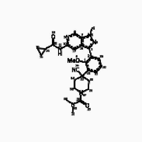 COc1c(-c2nn(C)c3cnc(NC(=O)C4CC4)cc23)cccc1C1(C#N)CCN(C(=O)N(C)C)CC1